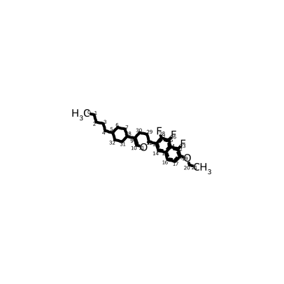 CCCCCC1CCC(C2=COC(c3cc4ccc(OCC)c(F)c4c(F)c3F)CC2)CC1